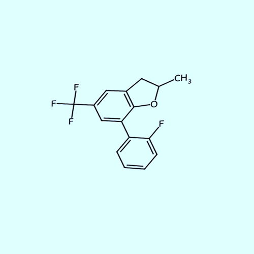 CC1Cc2cc(C(F)(F)F)cc(-c3ccccc3F)c2O1